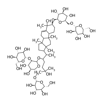 CC(C(CCC(C)(C)O)OC1O[C@H](CO[C@@H]2O[C@H](CO)[C@@H](O)[C@H](O)[C@H]2O)[C@@H](O)[C@H](O)[C@H]1O[C@@H]1O[C@H](CO)[C@@H](O)[C@H](O)[C@H]1O)C1CCC2(C)C3CC=C4C(CC[C@H](O[C@@H]5O[C@H](CO[C@@H]6O[C@H](CO)[C@@H](O)[C@H](O)[C@H]6O)[C@@H](O)[C@H](O)[C@H]5O)C4(C)C)C3(C)CCC12C